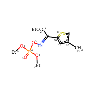 CCOC(=O)C(=NOP(=O)(OCC)OCC)c1cc(C)cs1